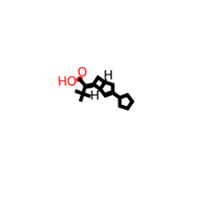 CC(C)(C)/C(C(=O)O)=C1/C[C@@H]2CC(C3CCCC3)=C[C@H]12